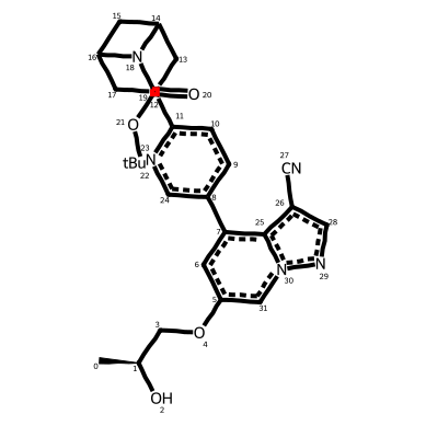 C[C@H](O)COc1cc(-c2ccc(N3CC4CC(C3)N4C(=O)OC(C)(C)C)nc2)c2c(C#N)cnn2c1